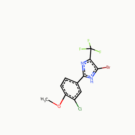 COc1ccc(-c2nc(C(F)(F)F)c(Br)[nH]2)cc1Cl